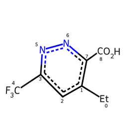 CCc1cc(C(F)(F)F)nnc1C(=O)O